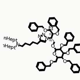 CCCCCCCN(CCCCCCC)CCCCCc1cn([C@@H](COC2OC(COCc3ccccc3)C(OCc3ccccc3)C(OCc3ccccc3)C2OCc2ccccc2)[C@H](OCc2ccccc2)[C@@H](CC)OCc2ccccc2)nn1